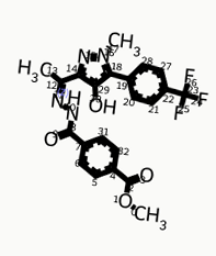 COC(=O)c1ccc(C(=O)N/N=C(/C)c2nn(C)c(-c3ccc(C(F)(F)F)cc3)c2O)cc1